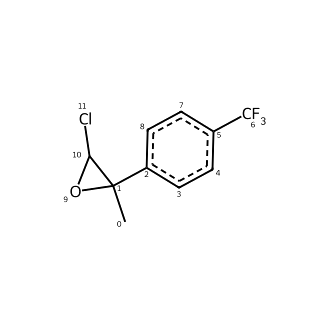 CC1(c2ccc(C(F)(F)F)cc2)OC1Cl